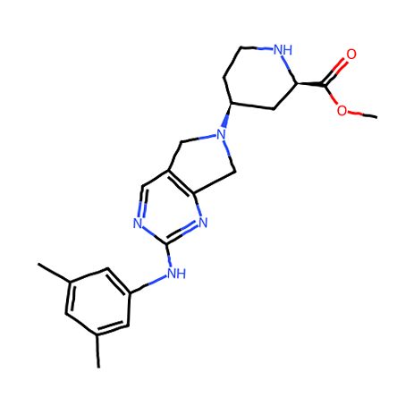 COC(=O)[C@H]1C[C@@H](N2Cc3cnc(Nc4cc(C)cc(C)c4)nc3C2)CCN1